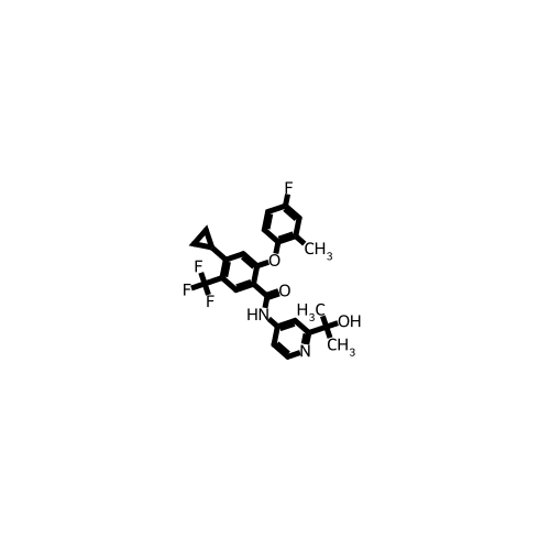 Cc1cc(F)ccc1Oc1cc(C2CC2)c(C(F)(F)F)cc1C(=O)Nc1ccnc(C(C)(C)O)c1